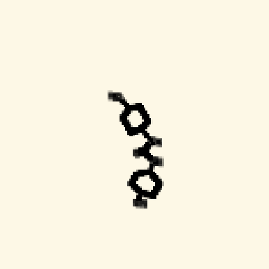 O=C(N[C@H]1CC[C@H](O)CC1)N[C@H]1CC[C@H](O)CC1